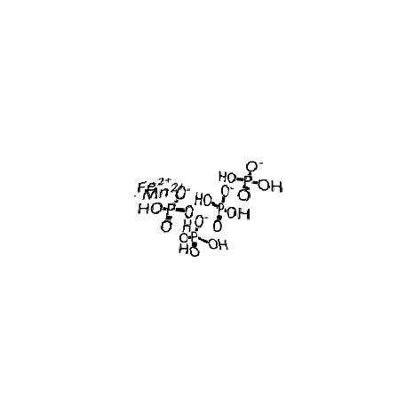 O=P([O-])(O)O.O=P([O-])(O)O.O=P([O-])(O)O.O=P([O-])(O)O.[Fe+2].[Mn+2]